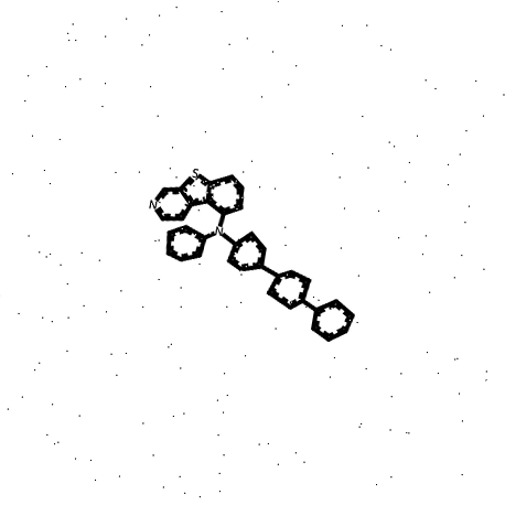 c1ccc(-c2ccc(-c3ccc(N(c4ccccc4)c4cccc5sc6cnccc6c45)cc3)cc2)cc1